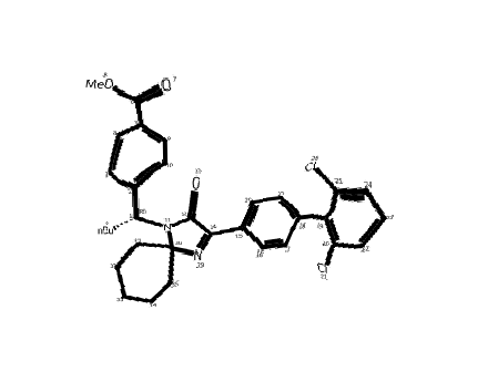 CCCC[C@H](c1ccc(C(=O)OC)cc1)N1C(=O)C(c2ccc(-c3c(Cl)cccc3Cl)cc2)=NC12CCCCC2